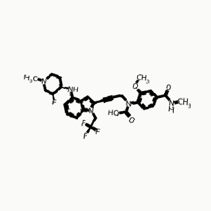 CNC(=O)c1ccc(N(CC#Cc2cc3c(N[C@@H]4CCN(C)C[C@@H]4F)cccc3n2CC(F)(F)F)C(=O)O)c(OC)c1